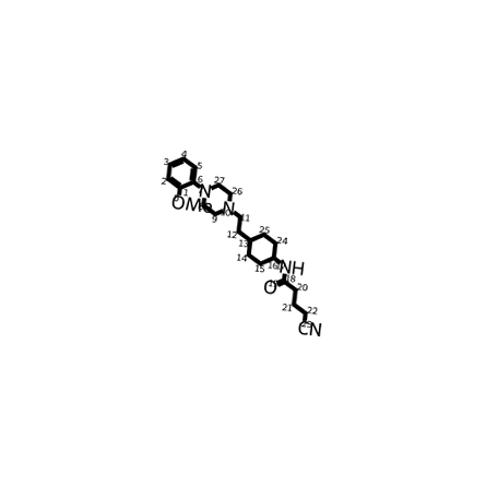 COc1ccccc1N1CCN(CCC2CCC(NC(=O)CCCC#N)CC2)CC1